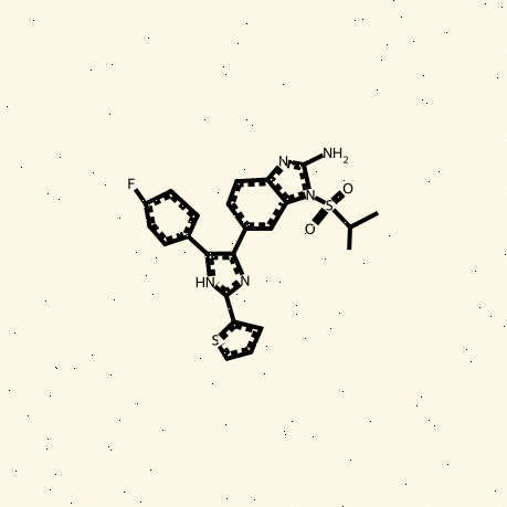 CC(C)S(=O)(=O)n1c(N)nc2ccc(-c3nc(-c4cccs4)[nH]c3-c3ccc(F)cc3)cc21